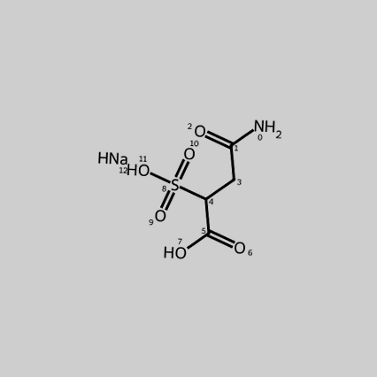 NC(=O)CC(C(=O)O)S(=O)(=O)O.[NaH]